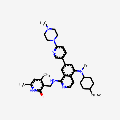 CCN(c1cc(-c2ccc(N3CCN(C)CC3)nc2)cc2c(NCc3c(C)cc(C)[nH]c3=O)nccc12)C1CCC(NC(C)=O)CC1